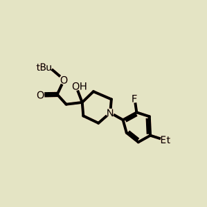 CCc1ccc(N2CCC(O)(CC(=O)OC(C)(C)C)CC2)c(F)c1